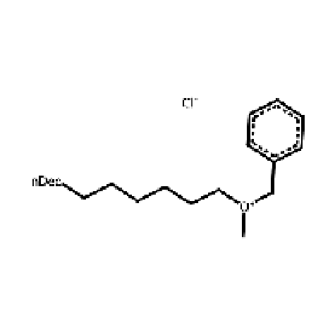 CCCCCCCCCCCCCCCC[O+](C)Cc1ccccc1.[Cl-]